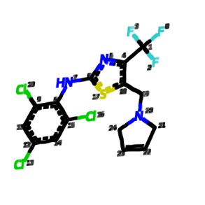 FC(F)(F)c1nc(Nc2c(Cl)cc(Cl)cc2Cl)sc1CN1CC=CC1